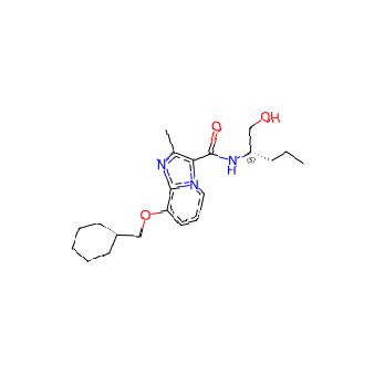 CCC[C@@H](CO)NC(=O)c1c(C)nc2c(OCC3CCCCC3)cccn12